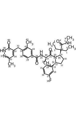 CCC(CC)(C(=O)NC)[C@H]1CC[C@@H](c2cccc(F)c2)N1C(=O)[C@@H](C)NC(=O)c1ccc(Cc2cc(C)n[nH]c2=O)c(C)c1